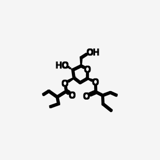 CCC(CC)C(=O)O[C@H]1C[C@@H](OC(=O)C(CC)CC)[C@H](O)[C@@H](CO)O1